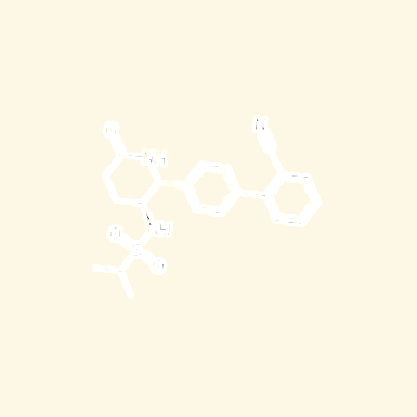 CC(C)S(=O)(=O)N[C@H]1CCC(=O)N[C@@H]1c1ccc(-c2ccccc2C#N)cc1